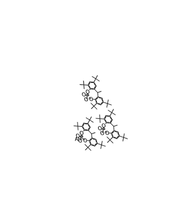 CC1c2cc(C(C)(C)C)cc(C(C)(C)C)c2OP(=O)([O-])Oc2c1cc(C(C)(C)C)cc2C(C)(C)C.CC1c2cc(C(C)(C)C)cc(C(C)(C)C)c2OP(=O)([O-])Oc2c1cc(C(C)(C)C)cc2C(C)(C)C.CC1c2cc(C(C)(C)C)cc(C(C)(C)C)c2OP(=O)([O-])Oc2c1cc(C(C)(C)C)cc2C(C)(C)C.[Al+3]